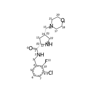 O=C(NCc1cccc(Cl)c1F)[C@@H]1C[C@H](CN2CCOCC2)CN1